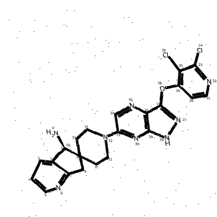 N[C@@H]1c2cccnc2CC12CCN(c1cnc3c(Oc4ccnc(Cl)c4Cl)n[nH]c3n1)CC2